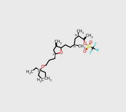 C=C1C[C@H](CCCO[Si](CC)(CC)CC)OC1CC[C@H](C)C[C@@H](C)C(=C)OS(=O)(=O)C(F)(F)F